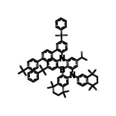 CC(C)c1cc2c3c(c1)N(c1ccc(C(C)(C)c4ccccc4)cc1-c1ccc(-c4ccc(C(C)(C)C)cc4)cc1)c1ccc(C(C)(C)c4ccccc4)cc1B3c1cc3c(cc1N2c1ccc2c(c1)C(C)(C)CCC2(C)C)C(C)(C)CCC3(C)C